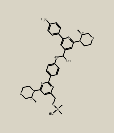 C[C@H]1COCCN1c1cc(CO[Si](C)(C)C(C)(C)C)nc(-c2ccc(NC(O)c3cc(N4CCOC[C@@H]4C)nc(-c4ccc(N)cc4)n3)cc2)n1